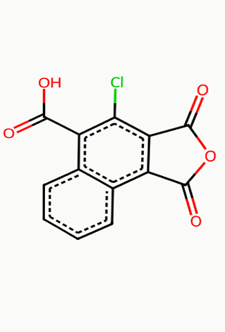 O=C1OC(=O)c2c1c(Cl)c(C(=O)O)c1ccccc21